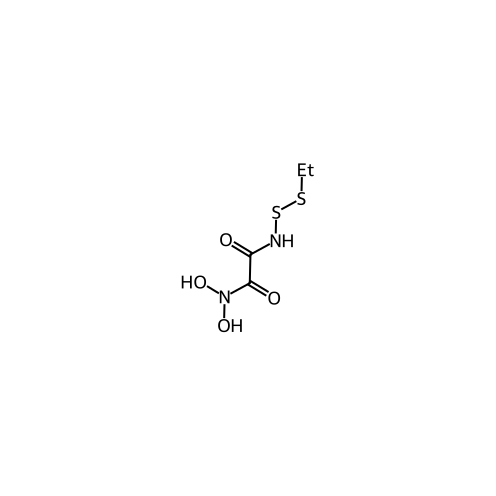 CCSSNC(=O)C(=O)N(O)O